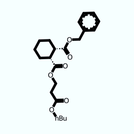 CCCCOC(=O)CCOC(=O)[C@@H]1CCCC[C@@H]1C(=O)OCc1ccccc1